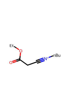 CCCC[N+]#CCC(=O)OCC